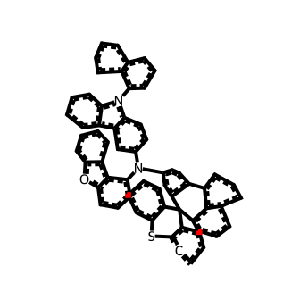 c1ccc2c(c1)Sc1ccccc1C21c2cc(N(c3ccc4c(c3)c3ccccc3n4-c3cccc4ccccc34)c3cccc4oc5ccccc5c34)ccc2-c2cccc3cccc1c23